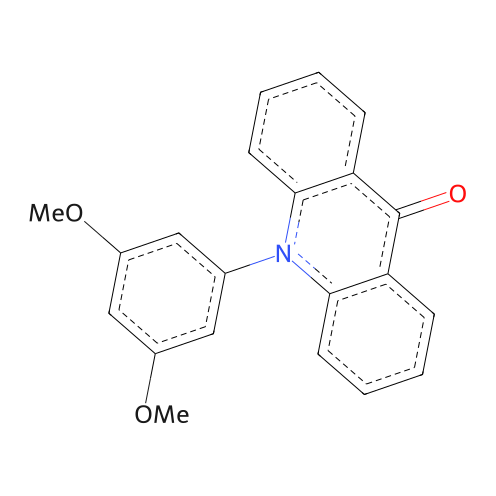 COc1cc(OC)cc(-n2c3ccccc3c(=O)c3ccccc32)c1